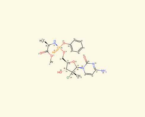 CC(C)OC(=O)[C@@H](C)N[P@](=P)(OC[C@H]1O[C@@H](n2ccc(N)nc2=O)[C@](C)(Cl)[C@@H]1O)Oc1ccccc1